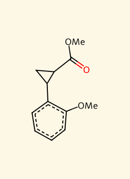 COC(=O)C1CC1c1ccccc1OC